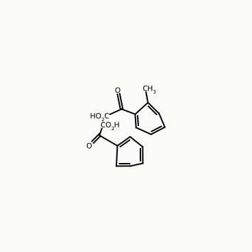 Cc1ccccc1C(=O)C(=O)O.O=C(O)C(=O)c1ccccc1